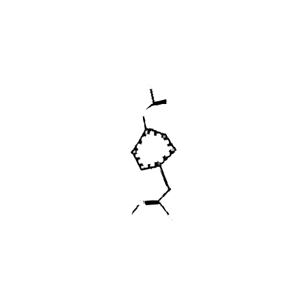 NC(=O)Oc1ccc(CC(N)=NO)cc1